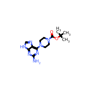 CC(C)(C)OC(=O)N1CCN(c2nc(N)nc3[nH]cnc23)CC1